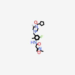 Cc1nc(CC(=O)Nc2cc(F)cc(CN3CCN(C(=O)C4CCCC4)[C@@H](C)C3)c2C)co1